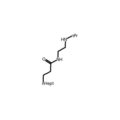 CCCCCCCCCC(=O)NCCNCCC